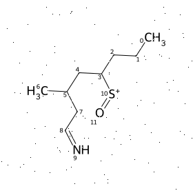 CCCC(CC(C)CC=N)[S+]=O